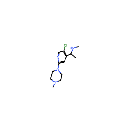 CNC(C)c1cc(N2CCN(C)CC2)ncc1Cl